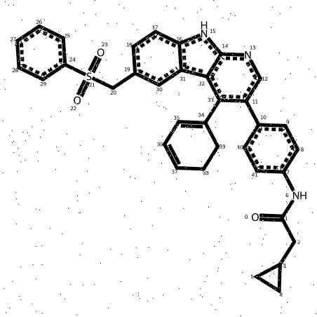 O=C(CC1CC1)Nc1ccc(-c2cnc3[nH]c4ccc(CS(=O)(=O)c5ccccc5)cc4c3c2C2=CC=CCC2)cc1